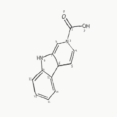 O=C(O)N1C=CC2C(=C1)Nc1ccccc12